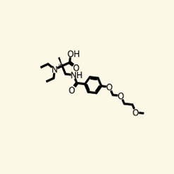 CCN(CC)[C@@](C)(CNC(=O)c1ccc(OCOCCOC)cc1)C(=O)O